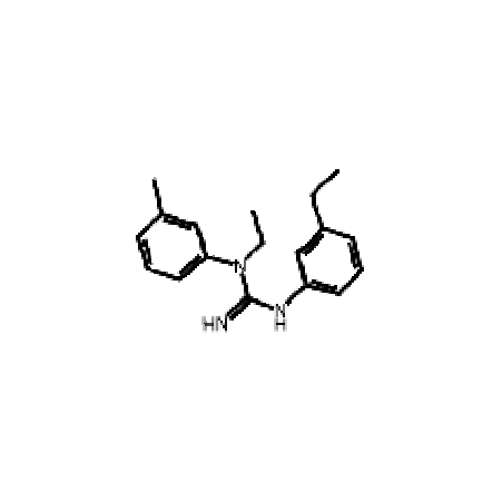 CCc1cccc(NC(=N)N(CC)c2cccc(C)c2)c1